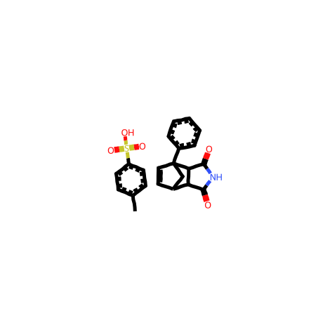 Cc1ccc(S(=O)(=O)O)cc1.O=C1NC(=O)C2C1C1C=CC2(c2ccccc2)C1